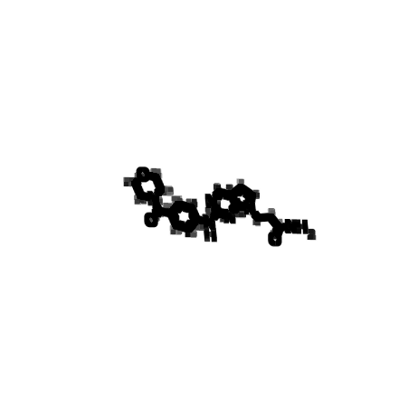 NC(=O)CCn1ccc2cnc(Nc3ccc(C(=O)N4CCOCC4)cc3)nc21